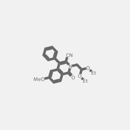 CCOC(Cn1c(C#N)c(-c2ccccc2)c2cc(OC)ccc2c1=O)OCC